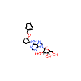 OCC1O[C@@H](n2cnc3c(NC4CCC[C@H]4OCc4ccccc4)ncnc32)[C@H](O)[C@@H]1O